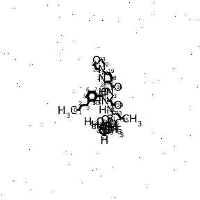 CCCCc1cccc(C(=O)N[C@@H](CNC(=O)c2ccc(N3CCOCC3)nc2)C(=O)N[C@@H](CC(C)C)B2O[C@@H]3C[C@@H]4C[C@@H](C4(C)C)[C@]3(C)O2)c1